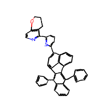 c1ccc(-c2c3c(c(-c4ccccc4)c4ccccc24)-c2ccc(-c4cccc(-c5nccc6c5CCCO6)n4)c4cccc-3c24)cc1